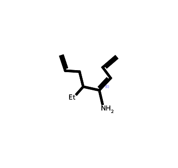 C=C/C=C(/N)C(CC)CC=C